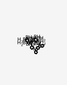 Bc1c(B)c(B)c(-c2nc(-c3cccc(-n4c5ccccc5c5cc6c(cc54)C(C)(C)c4ccccc4-6)c3)nc(-c3c(B)c(B)c(B)c(B)c3B)n2)c(B)c1B